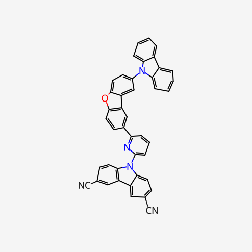 N#Cc1ccc2c(c1)c1cc(C#N)ccc1n2-c1cccc(-c2ccc3oc4ccc(-n5c6ccccc6c6ccccc65)cc4c3c2)n1